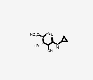 CCC[C@@H](C(O)C(=O)NC1CC1)N(C(=O)O)C(C)(C)C